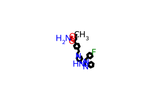 CCCC(OC(N)=O)c1ccc(CCN2CCC(Nc3nc4ccccc4n3Cc3ccc(F)cc3)CC2)cc1